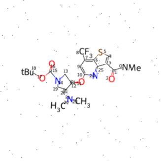 CNC(=O)c1csc2c(C(F)(F)F)cc(O[C@@H]3CN(C(=O)OC(C)(C)C)C[C@H]3N(C)C)nc12